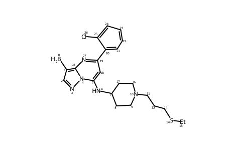 Bc1cnn2c(NC3CCN(CCCSCC)CC3)cc(-c3ccccc3Cl)nc12